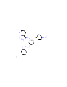 CC(C)c1ccc2c(Nc3cc(C(=O)Nc4ccc(C(F)(F)F)cc4)ccc3Oc3ccc(N)cc3)ncnc2n1